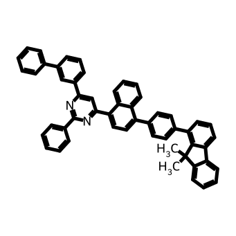 CC1(C)c2ccccc2-c2cccc(-c3ccc(-c4ccc(-c5cc(-c6cccc(-c7ccccc7)c6)nc(-c6ccccc6)n5)c5ccccc45)cc3)c21